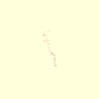 C=C(C)C(=O)OCCC(COC(=O)C(=C)C)COc1ccc(-c2ccc(-c3ccc(/C=C/C(=O)Oc4ccc(OC(=O)c5ccc(OC(=O)C(=C)C)cc5)cc4C)cc3)cc2)cc1C1CC1